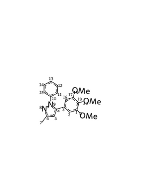 COc1cc(-c2cc(C)nn2-c2ccccc2)cc(OC)c1OC